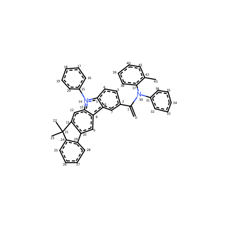 C=C(c1ccc2c(c1)c1cc3c(cc1n2-c1ccccc1)C(C)(C)c1ccccc1-3)N(c1ccccc1)c1ccccc1C